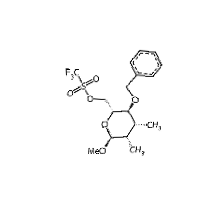 CO[C@H]1O[C@H](COS(=O)(=O)C(F)(F)F)[C@@H](OCc2ccccc2)[C@H](C)[C@@H]1C